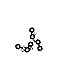 c1ccc(-c2cccc(N(c3ccc4c(c3)oc3ccccc34)c3ccc4c(c3)oc3ccc5oc(-c6ccccc6)nc5c34)c2)cc1